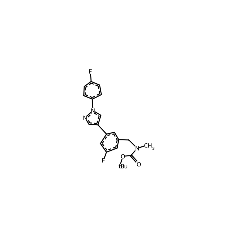 CN(Cc1cc(F)cc(-c2cnn(-c3ccc(F)cc3)c2)c1)C(=O)OC(C)(C)C